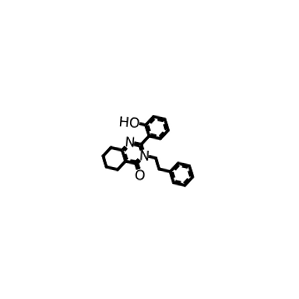 O=c1c2c(nc(-c3ccccc3O)n1CCc1ccccc1)CCCC2